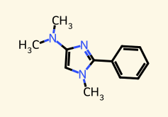 CN(C)c1cn(C)c(-c2ccccc2)n1